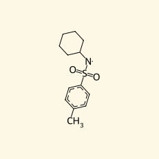 Cc1ccc(S(=O)(=O)[N]C2CCCCC2)cc1